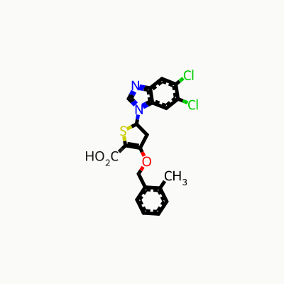 Cc1ccccc1COC1=C(C(=O)O)SC(n2cnc3cc(Cl)c(Cl)cc32)C1